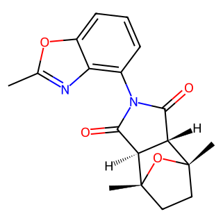 Cc1nc2c(N3C(=O)[C@H]4[C@H](C3=O)[C@]3(C)CC[C@@]4(C)O3)cccc2o1